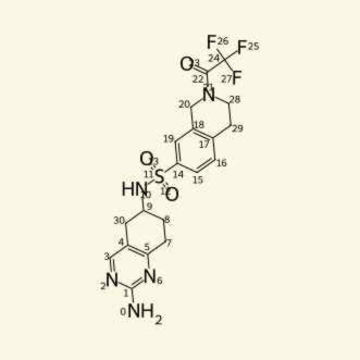 Nc1ncc2c(n1)CCC(NS(=O)(=O)c1ccc3c(c1)CN(C(=O)C(F)(F)F)CC3)C2